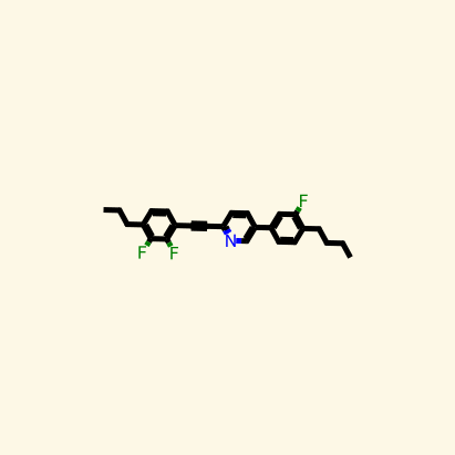 CCCCc1ccc(-c2ccc(C#Cc3ccc(CCC)c(F)c3F)nc2)cc1F